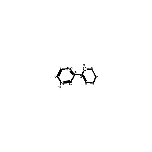 [c]1cnc(C2=CCCCO2)cn1